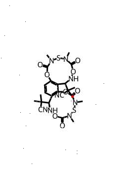 CN1SN(C)C(=O)Oc2ccc3c(c2C(C(C)(C)C#N)NOC1=O)OC(=O)N(C)SN(C)C(=O)ONC3C(C)(C)C#N